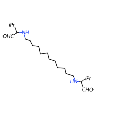 CC(C)[C]([C]=O)NCCCCCCCCCCCCN[C]([C]=O)C(C)C